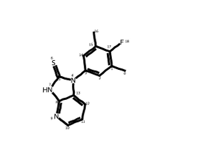 Cc1cc(-n2c(=S)[nH]c3ncccc32)cc(C)c1F